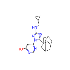 Oc1cc(-n2nc(NCC3CC3)nc2C23CC4CC(CC(C4)C2)C3)ncn1